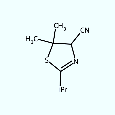 CC(C)C1=NC(C#N)C(C)(C)S1